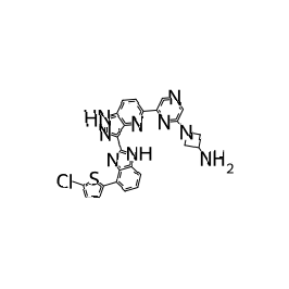 NC1CN(c2cncc(-c3ccc4[nH]nc(-c5nc6c(-c7ccc(Cl)s7)cccc6[nH]5)c4n3)n2)C1